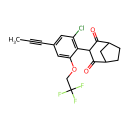 CC#Cc1cc(Cl)c(C2C(=O)C3CCC(C3)C2=O)c(OCC(F)(F)F)c1